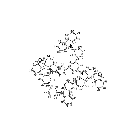 c1cc(-c2cc(-c3ccc4c(c3)c3ccc5oc6ccccc6c5c3n4-c3cccc(-c4cccc(-n5c6ccccc6c6ccccc65)c4)c3)cc(-n3c4ccccc4c4c5c(ccc43)oc3ccccc35)c2)cc(-n2c3ccccc3c3ccccc32)c1